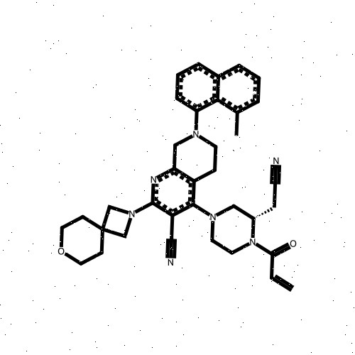 C=CC(=O)N1CCN(c2c(C#N)c(N3CC4(CCOCC4)C3)nc3c2CCN(c2cccc4cccc(C)c24)C3)C[C@@H]1CC#N